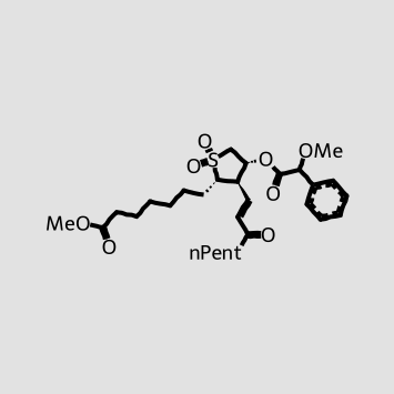 CCCCCC(=O)C=C[C@@H]1[C@@H](OC(=O)C(OC)c2ccccc2)CS(=O)(=O)[C@H]1CCCCCCC(=O)OC